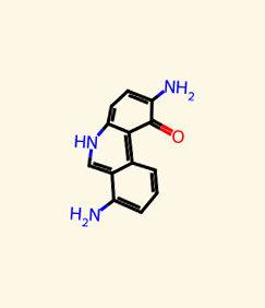 Nc1ccc2[nH]cc3c(N)cccc3c-2c1=O